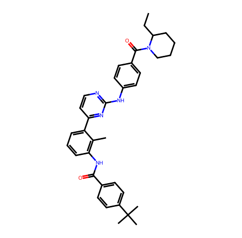 CCC1CCCCN1C(=O)c1ccc(Nc2nccc(-c3cccc(NC(=O)c4ccc(C(C)(C)C)cc4)c3C)n2)cc1